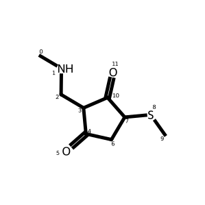 CNCC1C(=O)CC(SC)C1=O